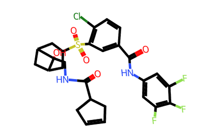 O=C(Nc1cc(F)c(F)c(F)c1)c1ccc(Cl)c(S(=O)(=O)C2CC3CC(C2)C3(O)CNC(=O)C2CC=CC2)c1